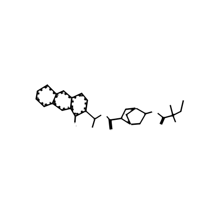 CCC(C)(C)C(=O)OC1CC2CC1CC2C(=O)OC(C)c1ccc2cc3ccccc3cc2c1Br